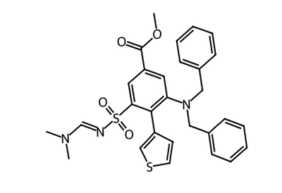 COC(=O)c1cc(N(Cc2ccccc2)Cc2ccccc2)c(-c2ccsc2)c(S(=O)(=O)N=CN(C)C)c1